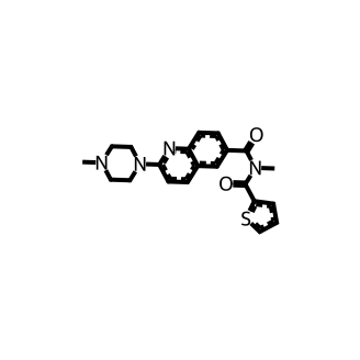 CN1CCN(c2ccc3cc(C(=O)N(C)C(=O)c4cccs4)ccc3n2)CC1